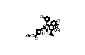 COC(=O)c1ccc(C[C@@]2(C)O[C@H](c3cccc(Cl)c3)C(C3C=CC(Cl)=C(F)C3C)N(C(CO)C3CC3)C2=O)nc1